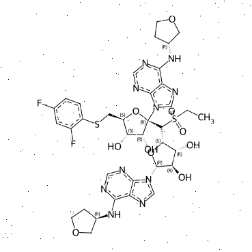 CCS(=O)(=O)C([C@H]1O[C@@H](n2cnc3c(N[C@@H]4CCOC4)ncnc32)[C@H](O)[C@H]1O)[C@]1(n2cnc3c(N[C@@H]4CCOC4)ncnc32)O[C@H](CSc2ccc(F)cc2F)[C@@H](O)[C@H]1O